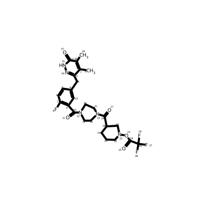 Cc1c(Cc2ccc(F)c(C(=O)N3CCN(C(=O)C4CCCN(OC(=O)C(F)(F)F)C4)CC3)c2)n[nH]c(=O)c1C